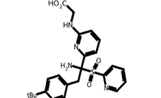 CC(C)(C)c1ccc(CC(N)(c2cccc(NCC(=O)O)n2)S(=O)(=O)c2ccccn2)cc1